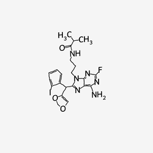 CC(C)C(=O)NCCCn1c(C(C2=COCO2)c2ccccc2I)nc2c(N)nc(F)nc21